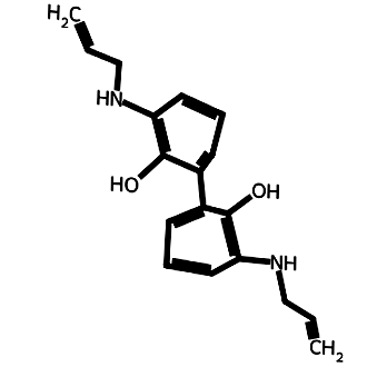 C=CCNc1cccc(-c2cccc(NCC=C)c2O)c1O